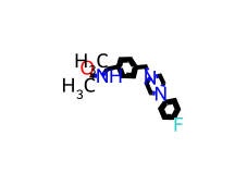 CC(=O)NC(C)c1ccc(CN2CCN(c3ccc(F)cc3)CC2)cc1